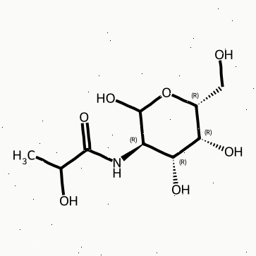 CC(O)C(=O)N[C@H]1C(O)O[C@H](CO)[C@H](O)[C@@H]1O